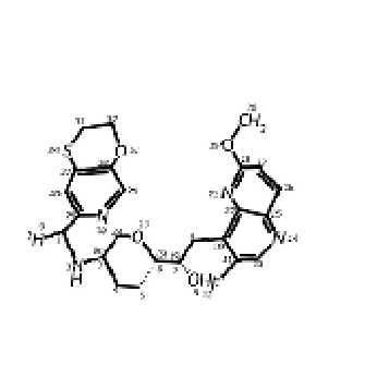 [2H]C(N[C@@H]1CC[C@@H]([C@@H](O)Cc2c(F)cnc3ccc(OC)nc23)OC1)c1cc2c(cn1)OCCS2